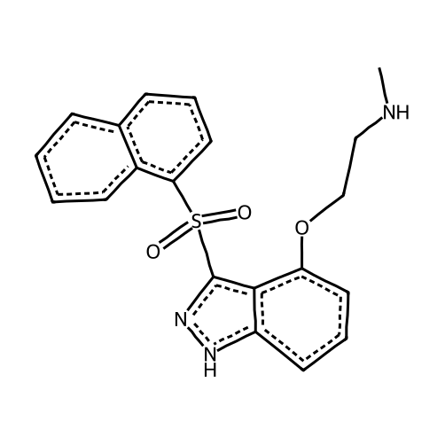 CNCCOc1cccc2[nH]nc(S(=O)(=O)c3cccc4ccccc34)c12